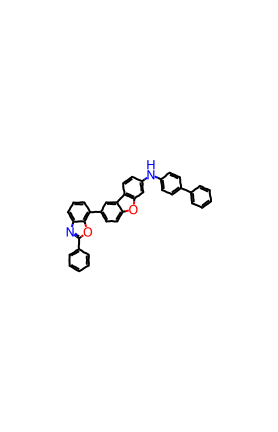 c1ccc(-c2ccc(Nc3ccc4c(c3)oc3ccc(-c5cccc6nc(-c7ccccc7)oc56)cc34)cc2)cc1